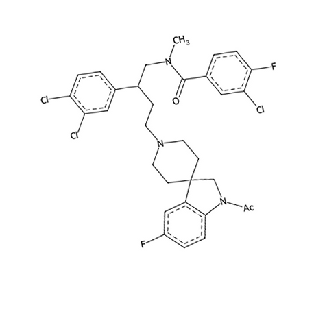 CC(=O)N1CC2(CCN(CCC(CN(C)C(=O)c3ccc(F)c(Cl)c3)c3ccc(Cl)c(Cl)c3)CC2)c2cc(F)ccc21